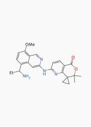 CCC(N)c1ccc(OC)c2cnc(Nc3ccc4c(n3)C3(CC3)C(C)(C)OC4=O)cc12